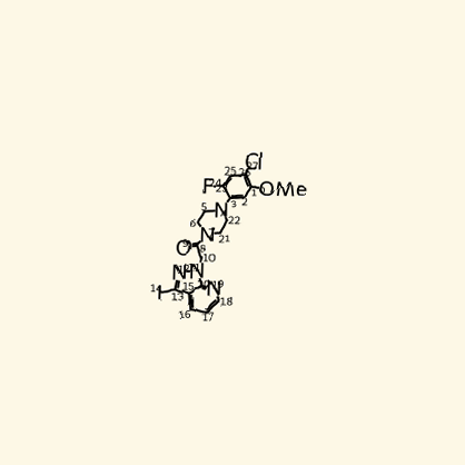 COc1cc(N2CCN(C(=O)Cn3nc(I)c4cccnc43)CC2)c(F)cc1Cl